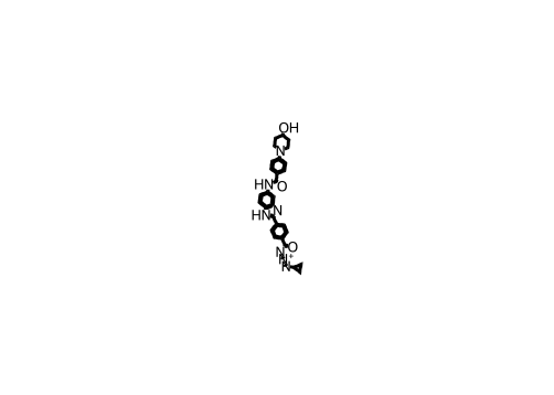 O=C(N=[N+]=NC1CC1)c1ccc(-c2nc3cc(NC(=O)c4ccc(N5CCC(O)CC5)cc4)ccc3[nH]2)cc1